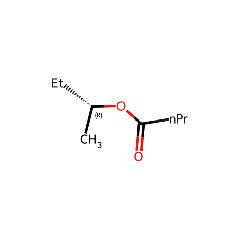 CCCC(=O)O[C@H](C)CC